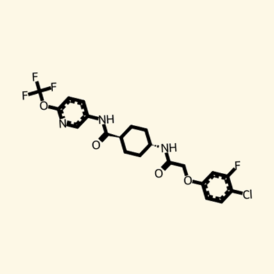 O=C(COc1ccc(Cl)c(F)c1)N[C@H]1CC[C@H](C(=O)Nc2ccc(OC(F)(F)F)nc2)CC1